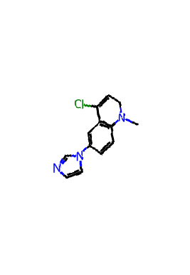 CN1CC=C(Cl)c2cc(-n3ccnc3)ccc21